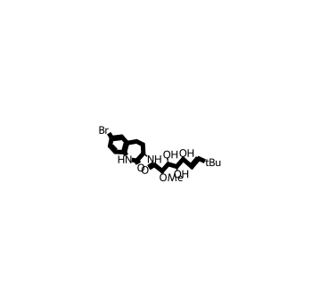 CO[C@@H](C(=O)N[C@H]1CCc2cc(Br)ccc2NC1=O)[C@H](O)[C@@H](O)[C@H](O)C=CC(C)(C)C